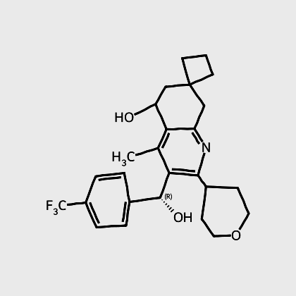 Cc1c2c(nc(C3CCOCC3)c1[C@H](O)c1ccc(C(F)(F)F)cc1)CC1(CCC1)CC2O